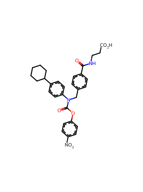 O=C(O)CCNC(=O)c1ccc(CN(C(=O)Oc2ccc([N+](=O)[O-])cc2)c2ccc(C3CCCCC3)cc2)cc1